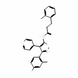 O=C(CCc1ccccc1Cl)Nc1onc(-c2ccc(F)cc2F)c1-c1ccncc1